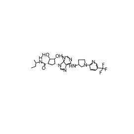 CCC(C)NC(=O)[C@H]1C[C@@H](n2cnc3c(N[C@H]4CCN(c5ccc(C(F)(F)F)cn5)C4)ncnc32)[C@H](O)[C@@H]1O